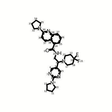 O=C(NCC(c1cnc(N2CCCC2)nc1)N1CCC(F)(F)CC1)c1cccc2nc(N3CCCC3)ccc12